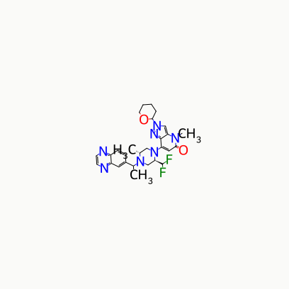 CC(c1ccc2nccnc2c1)N1C[C@H](C(F)F)N(c2cc(=O)n(C)c3cn(C4CCCCO4)nc23)C[C@H]1C